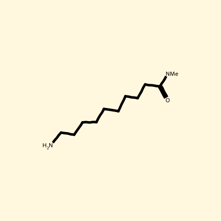 CNC(=O)CCCCCCCCCN